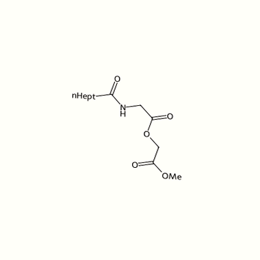 CCCCCCCC(=O)NCC(=O)OCC(=O)OC